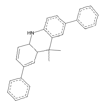 CC1(C)c2cc(-c3ccccc3)ccc2NC2C=CC(c3ccccc3)=CC21